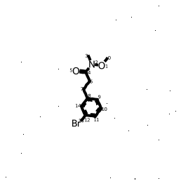 CON(C)C(=O)CCc1cccc(Br)c1